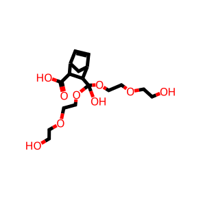 O=C(O)C1C2C=CC(C2)C1C(O)(OCCOCCO)OCCOCCO